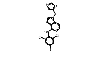 Fc1cc(Cl)c(Nc2nccc3c2ccn3Cc2cnco2)c(Cl)c1